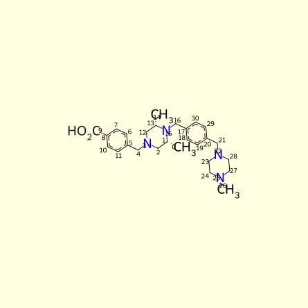 C[C@@H]1CN(Cc2ccc(C(=O)O)cc2)C[C@H](C)N1Cc1ccc(CN2CCN(C)CC2)cc1